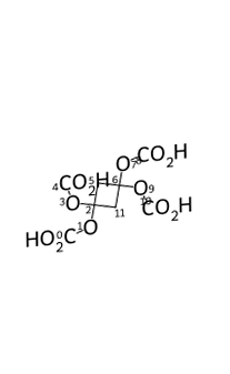 O=C(O)OC1(OC(=O)O)CC(OC(=O)O)(OC(=O)O)C1